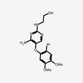 COc1cc(Oc2cnc(NCCO)nc2N)c(C(C)C)cc1OC